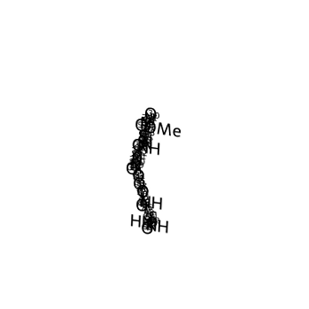 C=CC(=O)N1CCN(C(=O)c2cc(Sc3cnc(NC(=O)c4ccc(N5CCN(C(=O)CCOCCOCCOCCCNC(=O)CCCCC6SCC7NC(=O)NC76)CC5)cc4)s3)c(C)cc2OC)CC1